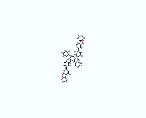 c1ccc2c(c1)oc1cc(-c3ccc4c(c3)c3c5c6ccccc6n6c7ccc(-c8ccc9c(c8)oc8ccccc89)cc7c(c7c8ccccc8n4c73)c56)ccc12